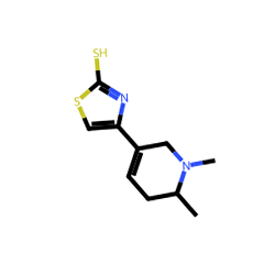 CC1CC=C(c2csc(S)n2)CN1C